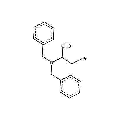 CC(C)CC(C=O)N(Cc1ccccc1)Cc1ccccc1